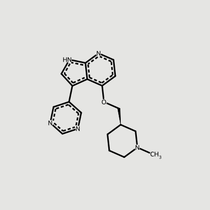 CN1CCC[C@@H](COc2ccnc3[nH]cc(-c4cncnc4)c23)C1